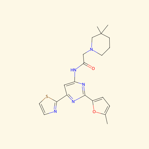 Cc1ccc(-c2nc(NC(=O)CN3CCCC(C)(C)C3)cc(-c3nccs3)n2)o1